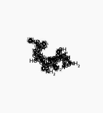 CCCC[C@@H](C(=O)N1CCC[C@@H]1C(=O)N[C@@H](CC(=O)O)C(=O)N[C@H](C(=O)N(C)C(Cc1ccccc1)C(=O)N[C@@H](CCCCN)C(=O)N1CCC[C@@H]1C(=O)N[C@@H](Cc1c[nH]c2ccccc12)C(=O)N[C@@H](Cc1ccc(O)cc1)C(=O)N[C@@H](CC(C)C)C(=O)N[C@@H](CSCC(N)=O)C(=O)NCC(N)=O)C(C)C)N(C)C(=O)[C@H](Cc1ccccc1)N(C)C(=O)CCc1ccccc1